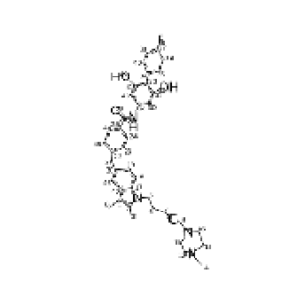 Cc1c(C)n(CCCCCN2CCN(C)CC2)c2ccc(Cc3ccc(C(=O)Nc4cc(O)c(-c5ccc(F)cc5)c(O)c4)cc3)cc12